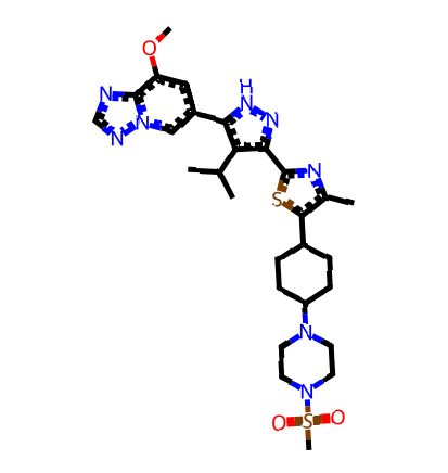 COc1cc(-c2[nH]nc(-c3nc(C)c(C4CCC(N5CCN(S(C)(=O)=O)CC5)CC4)s3)c2C(C)C)cn2ncnc12